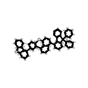 C1=C=CC2=C(C=1)c1c(-c3ccc4c5c(cccc35)-c3cc(-c5cccc6oc7ccccc7c56)ccc3O4)cccc1C2(c1ccccc1)c1ccccc1